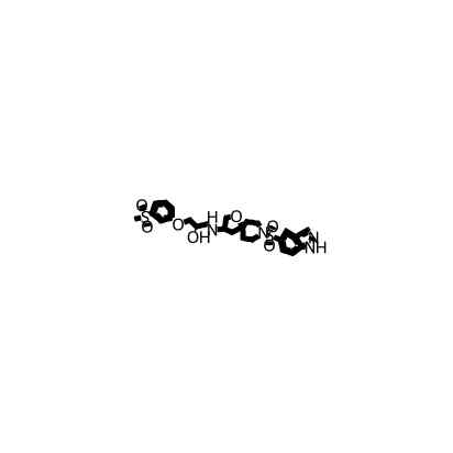 CS(=O)(=O)c1cccc(OC[C@@H](O)CNC2COC3(CCN(S(=O)(=O)c4ccc5[nH]ncc5c4)CC3)C2)c1